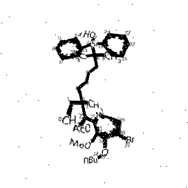 C=CC(C)(CCCCC(C)(C)[Si](O)(c1ccccc1)c1ccccc1)C(OC(C)=O)c1ncc(Br)c(OCCCC)c1OC